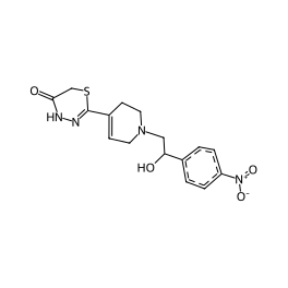 O=C1CSC(C2=CCN(CC(O)c3ccc([N+](=O)[O-])cc3)CC2)=NN1